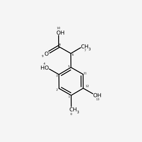 Cc1cc(O)c(C(C)C(=O)O)cc1O